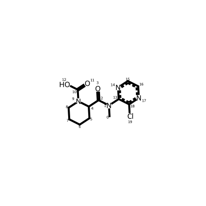 CN(C(=O)C1CCCCN1C(=O)O)c1nccnc1Cl